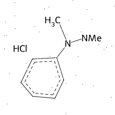 CNN(C)c1ccccc1.Cl